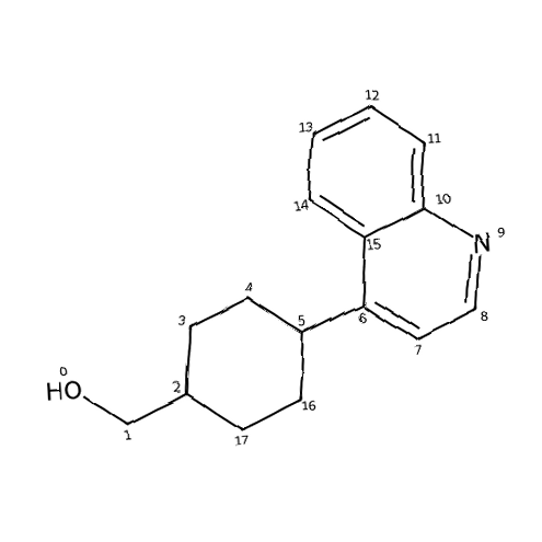 OCC1CCC(c2ccnc3ccccc23)CC1